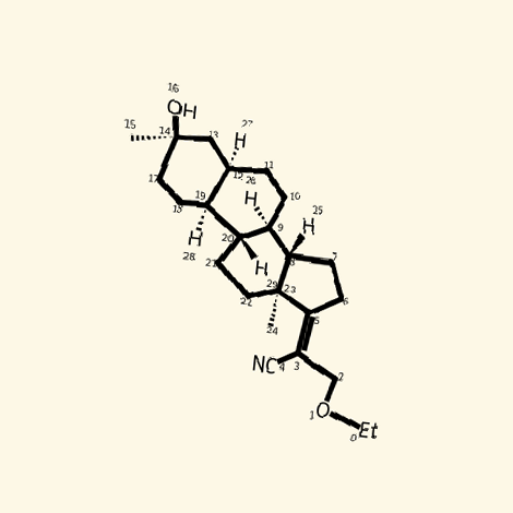 CCOC/C(C#N)=C1\CC[C@H]2[C@@H]3CC[C@@H]4C[C@](C)(O)CC[C@@H]4[C@H]3CC[C@]12C